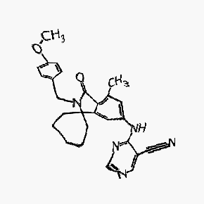 COc1ccc(CN2C(=O)c3c(C)cc(Nc4ncncc4C#N)cc3C23CCCCC3)cc1